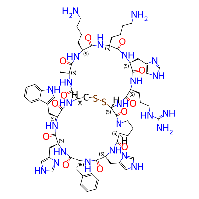 C[C@@H]1NC(=O)[C@@H]2CSS[C@H](NC(=O)[C@H](CCCNC(=N)N)NC(=O)[C@H](Cc3c[nH]cn3)NC(=O)[C@H](CCCCN)NC(=O)[C@H](CCCCN)NC1=O)C(=O)N1CCC[C@H]1C(=O)N[C@@H](Cc1c[nH]cn1)C(=O)N[C@H](Cc1ccccc1)C(=O)N[C@@H](Cc1c[nH]cn1)C(=O)N[C@@H](Cc1c[nH]c3ccccc13)C(=O)N2